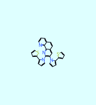 c1csc(-c2cccn2-c2cc3ccc4cccnc4c3nc2-n2cccc2-c2cccs2)c1